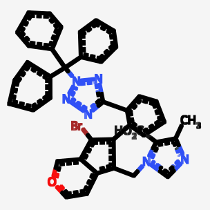 Cc1ncn(Cc2c3ccocc-3c(Br)c2-c2ccccc2-c2nnn(C(c3ccccc3)(c3ccccc3)c3ccccc3)n2)c1C(=O)O